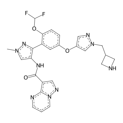 Cn1cc(NC(=O)c2cnn3cccnc23)c(-c2cc(Oc3cnn(CC4CNC4)c3)ccc2OC(F)F)n1